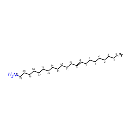 CC(C)CCCCCCCC=CCCCCCCCCCCCCN